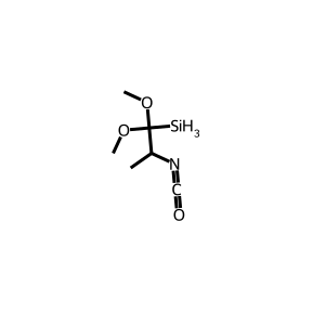 COC([SiH3])(OC)C(C)N=C=O